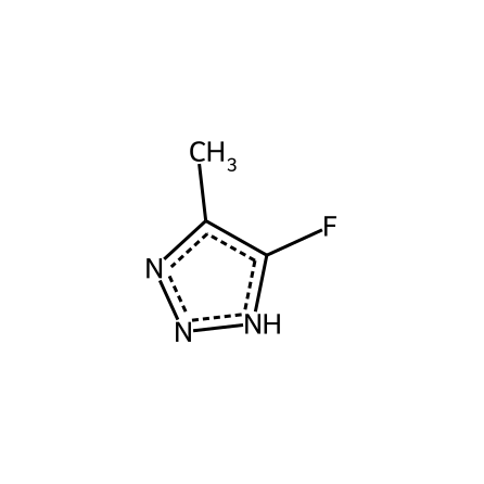 Cc1nn[nH]c1F